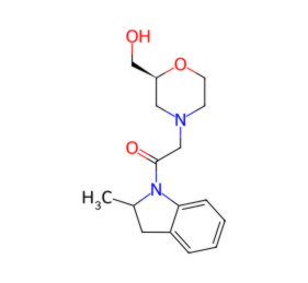 CC1Cc2ccccc2N1C(=O)CN1CCO[C@H](CO)C1